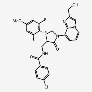 COc1cc(F)c([C@@H]2CN(c3cccn4cc(CO)nc34)C(=O)C2CNC(=O)c2ccc(Cl)cc2)c(F)c1